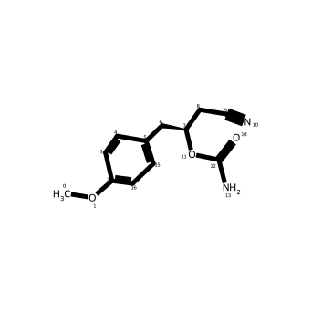 COc1ccc(C[C@@H](CC#N)OC(N)=O)cc1